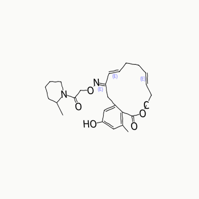 Cc1cc(O)cc2c1C(=O)OCC/C=C/CC/C=C/C(=N/OCC(=O)N1CCCCC1C)C2